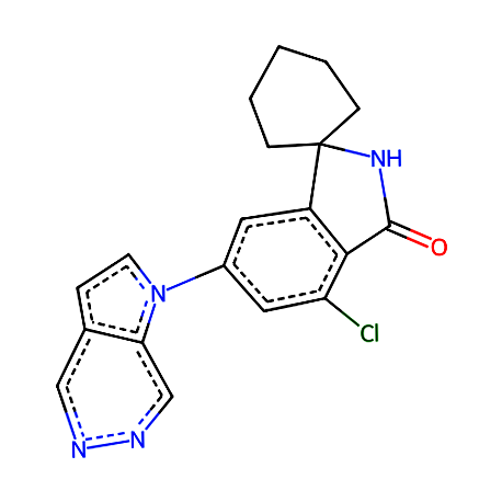 O=C1NC2(CCCCC2)c2cc(-n3ccc4cnncc43)cc(Cl)c21